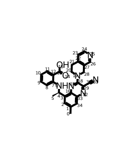 Cc1cc([C@@H](C)Nc2ccccc2C(=O)O)c2nc(N3CCc4ccncc4C3)c(C#N)nc2c1